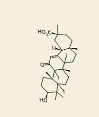 CC1(C)[C@@H](O)CC[C@@]2(C)C1(I)CC[C@@]1(C)C3(I)CC[C@@]4(C)CC[C@](C)(C(=O)O)C[C@H]4C3=CC(=O)C12I